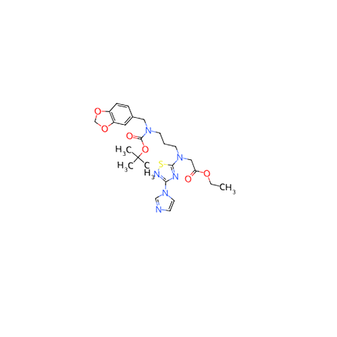 CCOC(=O)CN(CCCN(Cc1ccc2c(c1)OCO2)C(=O)OC(C)(C)C)c1nc(-n2ccnc2)ns1